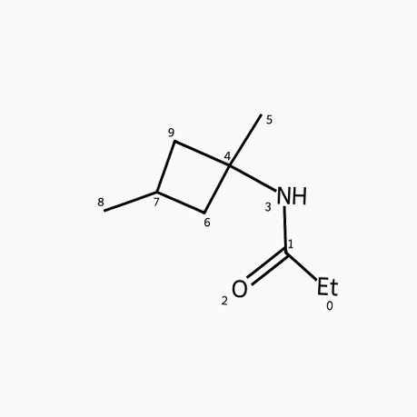 CCC(=O)NC1(C)CC(C)C1